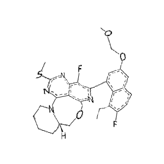 CCc1c(F)ccc2cc(OCOC)cc(-c3nc4c5c(nc(SC)nc5c3F)N3CCCC[C@H]3CO4)c12